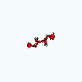 O=C(OCc1ccc(N(c2ccc(CO)cc2)c2ccc(-c3ccc(N(c4ccc(CO)cc4)c4ccc(COC(=O)c5ccc(OC(=C(C(F)(C(F)(F)F)C(F)(F)F)C(F)(C(F)(F)F)C(F)(F)F)C(F)(F)F)cc5)cc4)cc3)cc2)cc1)c1ccc(OC(=C(C(F)(C(F)(F)F)C(F)(F)F)C(F)(C(F)(F)F)C(F)(F)F)C(F)(F)F)cc1